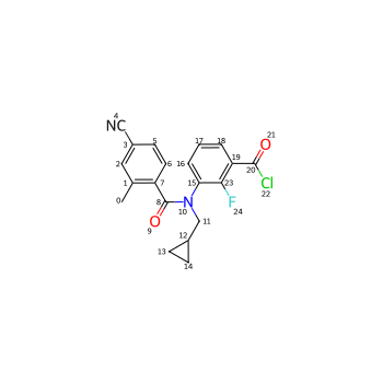 Cc1cc(C#N)ccc1C(=O)N(CC1CC1)c1cccc(C(=O)Cl)c1F